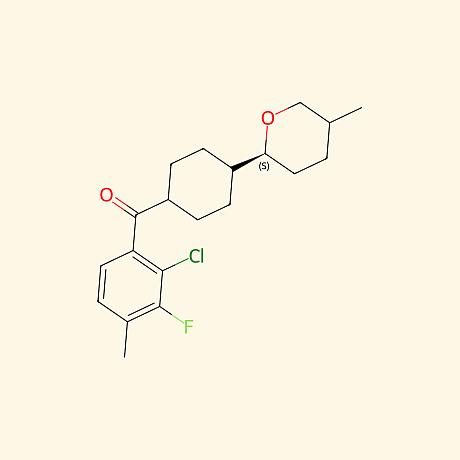 Cc1ccc(C(=O)C2CCC([C@@H]3CCC(C)CO3)CC2)c(Cl)c1F